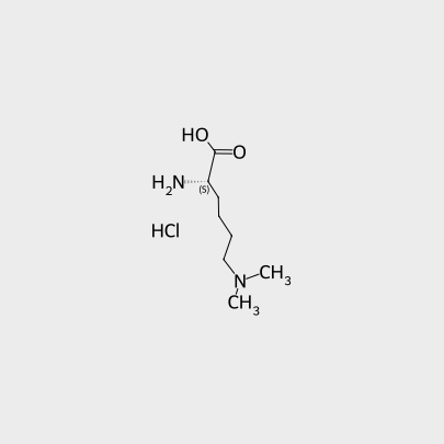 CN(C)CCCC[C@H](N)C(=O)O.Cl